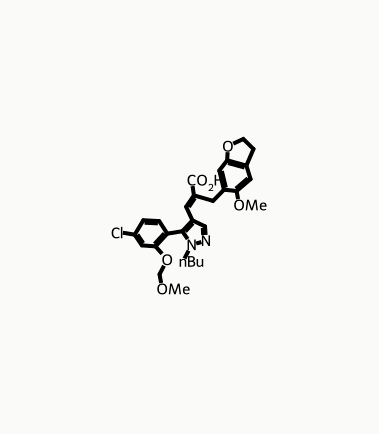 CCCCn1ncc(/C=C(\Cc2cc3c(cc2OC)CCO3)C(=O)O)c1-c1ccc(Cl)cc1OCOC